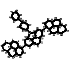 C1=Cc2ccc3c(-c4cc5ccc6cc(-c7ccc8ccc9cccc%10ccc7c8c9%10)cc7c6c5c(c4)n7-c4ccc(-c5ccccc5)cc4)ccc4c3c2C(=CC4)C1